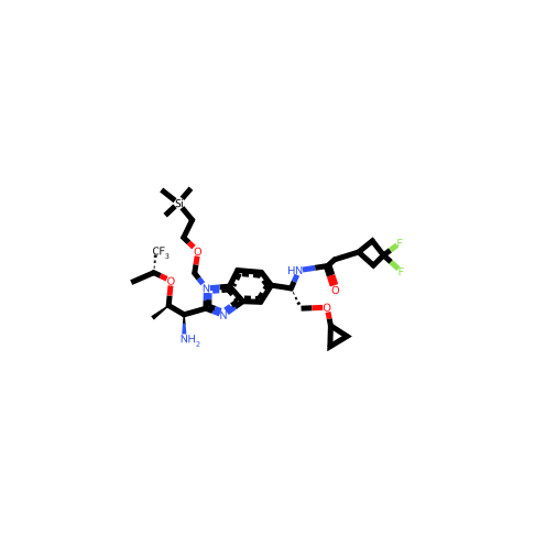 C[C@@H](O[C@H](C)C(F)(F)F)[C@H](N)c1nc2cc([C@@H](COC3CC3)NC(=O)CC3CC(F)(F)C3)ccc2n1COCC[Si](C)(C)C